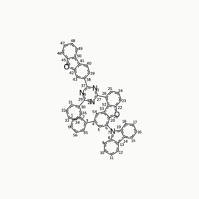 c1ccc(-c2cc(-n3c4ccccc4c4ccccc43)c3oc4cccc(-c5nc(-c6ccccc6)nc(-c6ccc7c(c6)oc6ccccc67)n5)c4c3c2)cc1